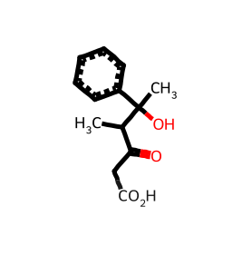 CC(C(=O)CC(=O)O)C(C)(O)c1ccccc1